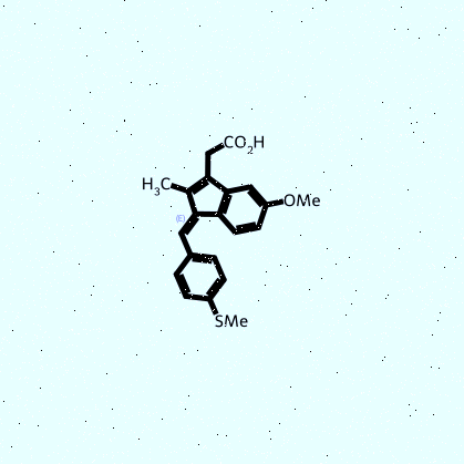 COc1ccc2c(c1)C(CC(=O)O)=C(C)/C2=C/c1ccc(SC)cc1